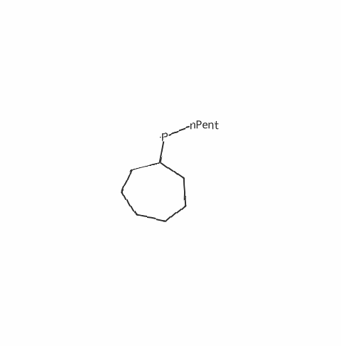 CCCCC[P]C1CCCCCC1